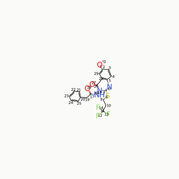 COc1ccc2nc(SCCC(F)(F)F)n(NC(=O)Cc3ccccc3)c(=O)c2c1